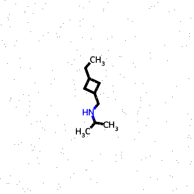 CCC1CC(CNC(C)C)C1